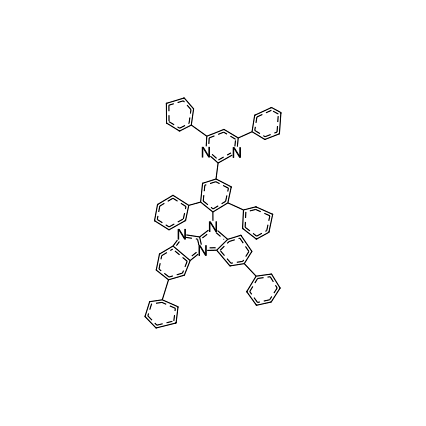 c1ccc(-c2ccc3nc4n(-c5c(-c6ccccc6)cc(-c6nc(-c7ccccc7)cc(-c7ccccc7)n6)cc5-c5ccccc5)c5ccc(-c6ccccc6)cc5n4c3c2)cc1